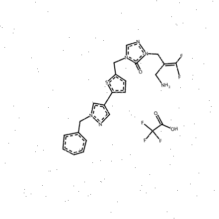 NCC(Cn1ncn(Cc2ccc(-c3cnn(Cc4ccccc4)c3)s2)c1=O)=C(F)F.O=C(O)C(F)(F)F